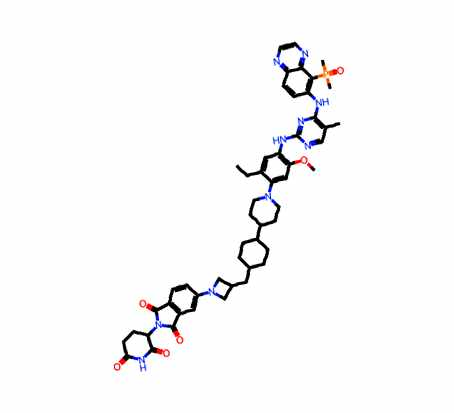 CCc1cc(Nc2ncc(C)c(Nc3ccc4nccnc4c3P(C)(C)=O)n2)c(OC)cc1N1CCC(C2CCC(CC3CN(c4ccc5c(c4)C(=O)N(C4CCC(=O)NC4=O)C5=O)C3)CC2)CC1